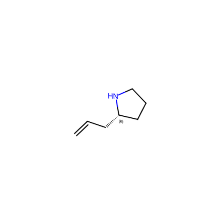 C=CC[C@H]1CCCN1